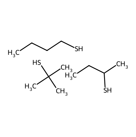 CC(C)(C)S.CCC(C)S.CCCCS